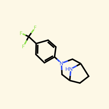 FC(F)(F)c1ccc(N2CC3CCC(C2)N3)cc1